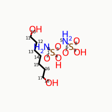 NS(=O)(=O)O.NS(=O)(=O)O.OCCCCCCCO